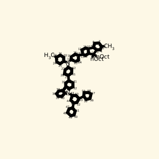 CCCCCCCCC1(CCCCCCCC)c2cc(C)ccc2-c2ccc(-c3ccc(N(c4ccc(C)cc4)c4ccc(-c5ccc6c(c5)c5ccccc5n6-c5cc(-c6ccccc6)cc(-c6ccccc6)c5)cc4)cc3)cc21